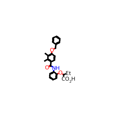 CCC(Oc1ccccc1NC(=O)c1ccc(OCc2ccccc2)c(C)c1C)C(=O)O